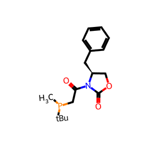 CP(CC(=O)N1C(=O)OC[C@@H]1Cc1ccccc1)C(C)(C)C